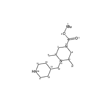 CC1CN(C(=O)OC(C)(C)C)CC(C)N1CC1CCNCC1